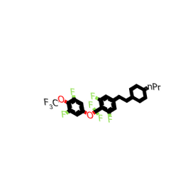 CCCC1CCC(CCc2cc(F)c(C(F)(F)Oc3cc(F)c(OC(F)(F)F)c(F)c3)c(F)c2)CC1